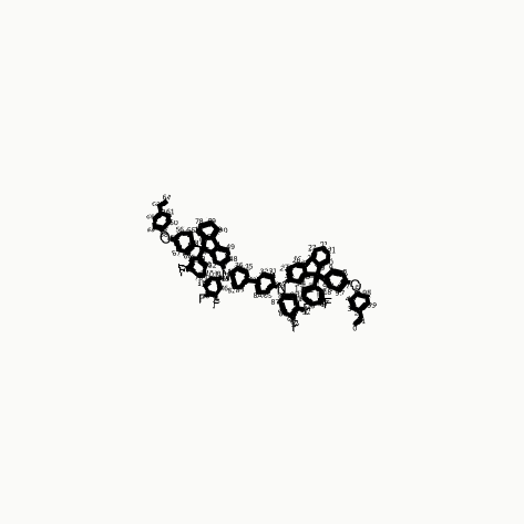 C=Cc1ccc(Oc2ccc(C3(c4cccc(F)c4)c4ccccc4-c4ccc(N(c5ccc(-c6ccc(N(c7ccc(F)c(F)c7)c7ccc8c(c7)[C@](c7ccc(Oc9ccc(C=C)cc9)cc7)(c7cccc(F)c7)c7ccccc7-8)cc6)cc5)c5ccc(F)c(F)c5)cc43)cc2)cc1